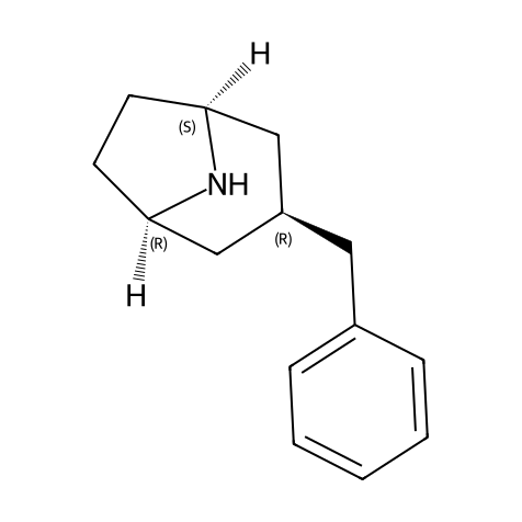 c1ccc(C[C@H]2C[C@H]3CC[C@@H](C2)N3)cc1